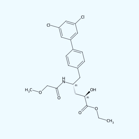 CCOC(=O)[C@H](O)C[C@@H](Cc1ccc(-c2cc(Cl)cc(Cl)c2)cc1)NC(=O)COC